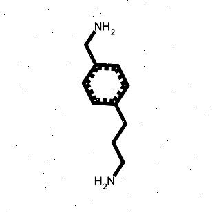 NCCCc1ccc(CN)cc1